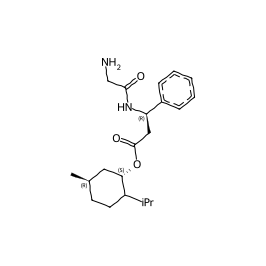 CC(C)C1CC[C@@H](C)C[C@@H]1OC(=O)C[C@@H](NC(=O)CN)c1ccccc1